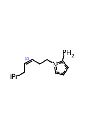 CC(C)C/C=C\CCn1cccc1P